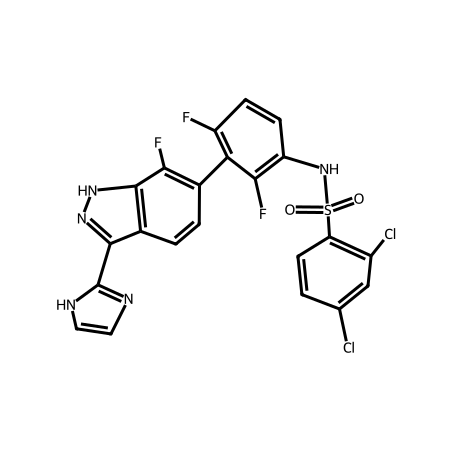 O=S(=O)(Nc1ccc(F)c(-c2ccc3c(-c4ncc[nH]4)n[nH]c3c2F)c1F)c1ccc(Cl)cc1Cl